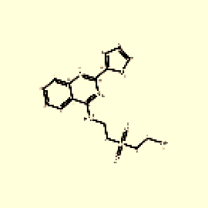 O=S(=O)(CCO)CCNc1nc(-c2ccco2)nc2ccccc12